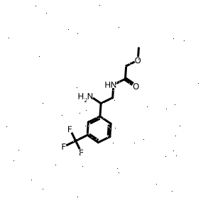 COCC(=O)NCC(N)c1cccc(C(F)(F)F)c1